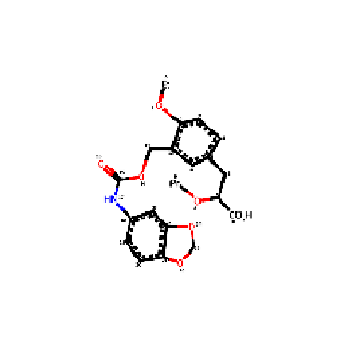 CCOc1ccc(CC(OC(C)C)C(=O)O)cc1COC(=O)Nc1ccc2c(c1)OCO2